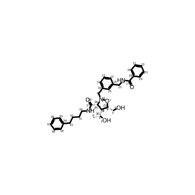 C[C@@H](O)[C@H]1[C@@H](CO)ON(Cc2cccc(CNC(=O)c3ccccc3)c2)[C@H]1C(=O)NCCCCc1ccccc1